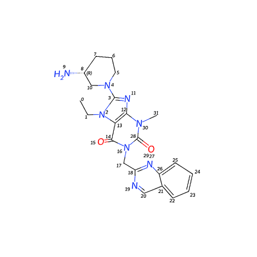 CCn1c(N2CCC[C@@H](N)C2)nc2c1c(=O)n(Cc1ncc3ccccc3n1)c(=O)n2C